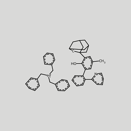 Cc1cc(-c2ccccc2-c2ccccn2)c(O)c(C23CC4CC(CC(C4)C2)C3)c1.c1ccc([CH2][Hf]([CH2]c2ccccc2)[CH2]c2ccccc2)cc1